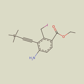 CCOC(=O)c1ccc(N)c(C#C[Si](C)(C)C)c1CI